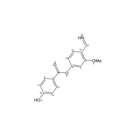 COc1cc(OC(=O)c2ccc(O)cc2)ccc1C=N